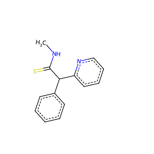 CNC(=S)C(c1ccccc1)c1ccccn1